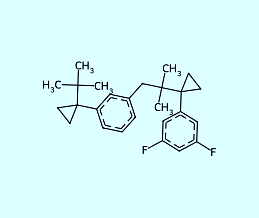 CC(C)(C)C1(c2cccc(CC(C)(C)C3(c4cc(F)cc(F)c4)CC3)c2)CC1